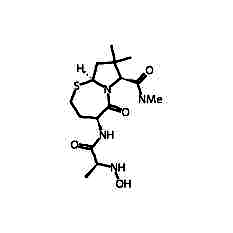 CNC(=O)[C@H]1N2C(=O)[C@@H](NC(=O)[C@H](C)NO)CCS[C@H]2CC1(C)C